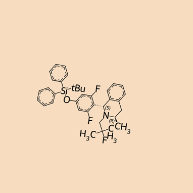 C[C@@H]1Cc2ccccc2[C@@H](c2c(F)cc(O[Si](c3ccccc3)(c3ccccc3)C(C)(C)C)cc2F)N1CC(C)(C)F